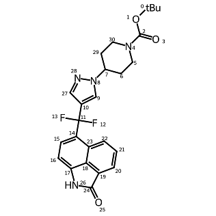 CC(C)(C)OC(=O)N1CCC(n2cc(C(F)(F)c3ccc4c5c(cccc35)C(=O)N4)cn2)CC1